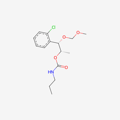 CCCNC(=O)O[C@@H](C)[C@@H](OCOC)c1ccccc1Cl